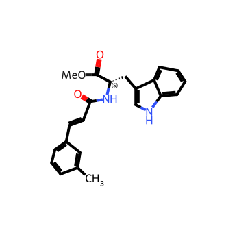 COC(=O)[C@H](Cc1c[nH]c2ccccc12)NC(=O)C=Cc1cccc(C)c1